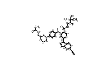 CC(=O)NCC1CN(c2ccc(Nc3cc(-c4ccc5cc(C#N)cnn45)ncc3C(=O)NCC(F)C(C)(C)O)cn2)CCO1